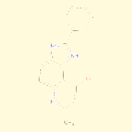 Cc1cc(O)c2c(ccc3nc(-c4ccccc4)[nH]c32)n1